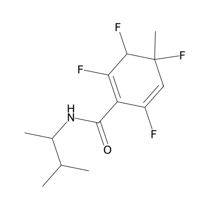 CC(C)C(C)NC(=O)C1=C(F)C(F)C(C)(F)C=C1F